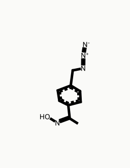 C/C(=N/O)c1ccc(CN=[N+]=[N-])cc1